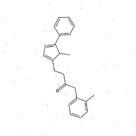 Cc1ccccc1CC(=O)CCC1=CC=C(c2ccccc2)C1C